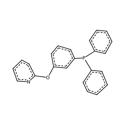 c1ccc(P(c2ccccc2)c2cccc(Oc3ccccn3)c2)cc1